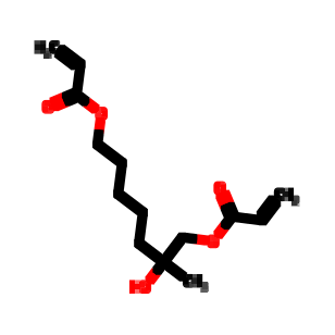 C=CC(=O)OCCCCCC(C)(O)COC(=O)C=C